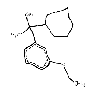 CCOc1cccc(C(C)(O)C2CCCCC2)c1